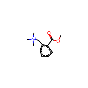 COC(=O)c1ccccc1C[N+](C)(C)C